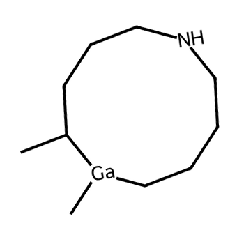 C[CH]1CCCNCCC[CH2][Ga]1[CH3]